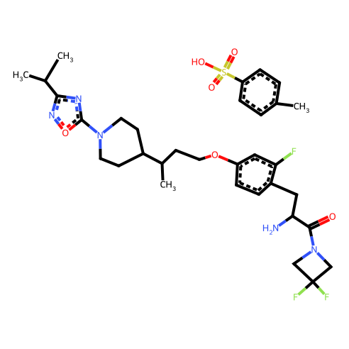 CC(C)c1noc(N2CCC(C(C)CCOc3ccc(CC(N)C(=O)N4CC(F)(F)C4)c(F)c3)CC2)n1.Cc1ccc(S(=O)(=O)O)cc1